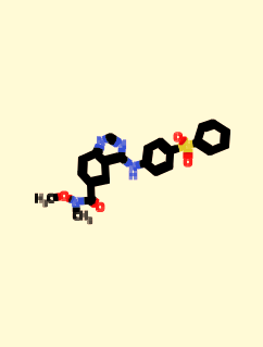 CON(C)C(=O)c1ccc2ncnc(Nc3ccc(S(=O)(=O)c4ccccc4)cc3)c2c1